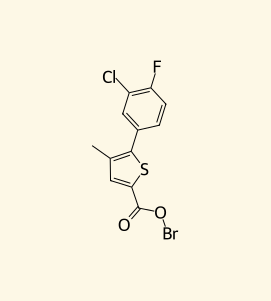 Cc1cc(C(=O)OBr)sc1-c1ccc(F)c(Cl)c1